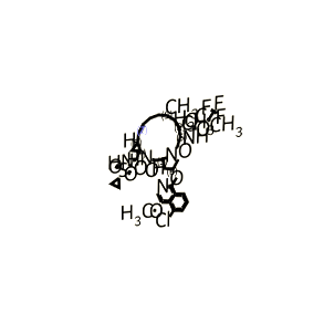 COc1cnc(O[C@@H]2C[C@H]3C(=O)N[C@]4(C(=O)NS(=O)(=O)C5CC5)C[C@H]4/C=C\CC[C@H](C)C[C@@H](C)[C@H](NC(=O)OC(C)(C)C(F)(F)F)C(=O)N3C2)c2cccc(Cl)c12